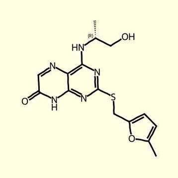 Cc1ccc(CSc2nc(N[C@H](C)CO)c3ncc(=O)[nH]c3n2)o1